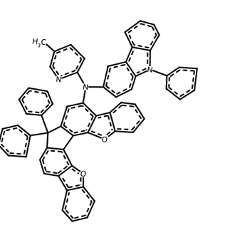 Cc1ccc(N(c2ccc3c(c2)c2ccccc2n3-c2ccccc2)c2cc3c(c4oc5ccccc5c24)-c2c(ccc4c2oc2ccccc24)C3(c2ccccc2)c2ccccc2)nc1